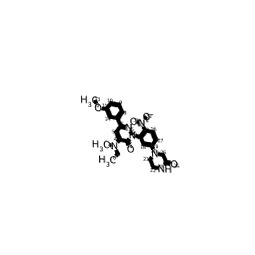 CCN(C)c1cc(-c2cccc(OC)c2)nn(-c2cc(N3CCNC(=O)C3)ccc2[N+](=O)[O-])c1=O